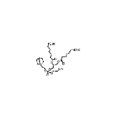 CCCCCCCCCCCCCCCC(=O)OCC(COP(=O)(OCCC#N)OCC[N+]12CCC(CC1)CC2)OC(=O)CCCCCCCCCCCCCCC